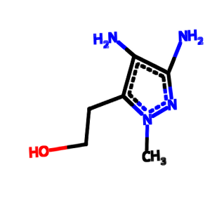 Cn1nc(N)c(N)c1CCO